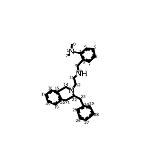 CN(C)c1ccccc1CNCCN1Cc2ccccc2CC1Cc1ccccc1